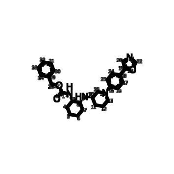 O=C(N[C@@H]1CCCC[C@H]1N[C@H]1CCCN(c2ccc(-c3cnco3)cc2)C1)OCc1ccccc1